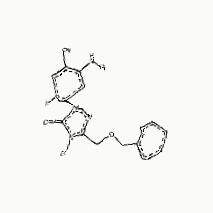 CCn1c(COCc2ccccc2)nn(-c2cc(NC(C)C)c(C#N)cc2F)c1=O